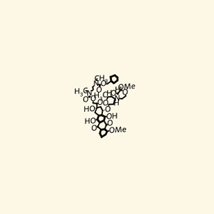 COc1cccc2c1C(=O)c1c(O)c3c(c(O)c1C2=O)C[C@@](O)(C(=O)COC(=O)N(C)CCN(C)C(=O)OCc1ccccc1)C[C@@H]3OC1C[C@H]2[C@H](O[C@@H]3[C@@H](OC)OCCN32)[C@H](C)O1